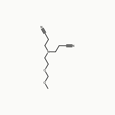 COCOCCN(CCC#N)CCC#N